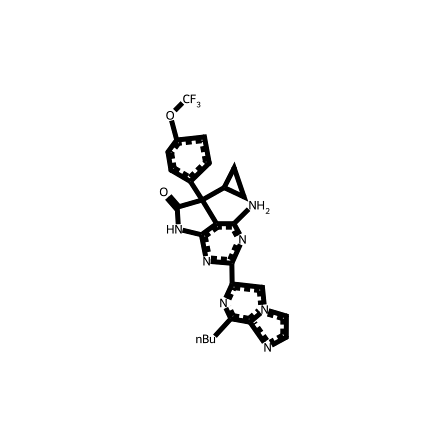 CCCCc1nc(-c2nc(N)c3c(n2)NC(=O)C3(c2ccc(OC(F)(F)F)cc2)C2CC2)cn2ccnc12